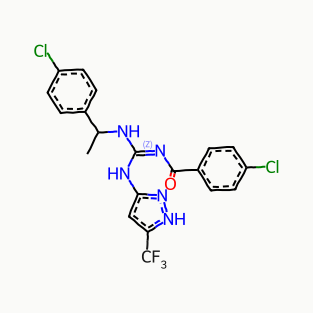 CC(N/C(=N/C(=O)c1ccc(Cl)cc1)Nc1cc(C(F)(F)F)[nH]n1)c1ccc(Cl)cc1